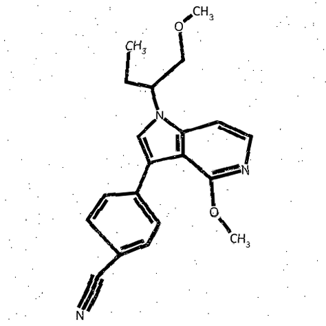 CCC(COC)n1cc(-c2ccc(C#N)cc2)c2c(OC)nccc21